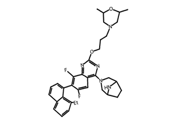 CCc1cccc2cccc(-c3c(F)cc4c(N5CC6CCC(C5)N6)nc(OCCCN5CC(C)OC(C)C5)nc4c3F)c12